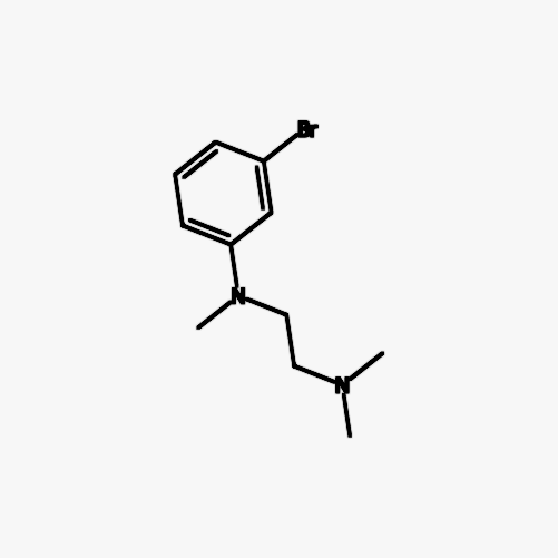 CN(C)CCN(C)c1cccc(Br)c1